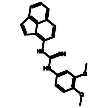 COc1ccc(NC(=N)Nc2ccc3cccc4c3c2C=C4)cc1OC